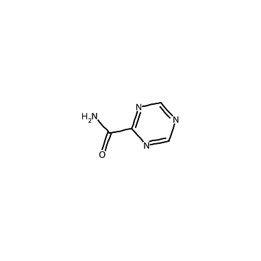 NC(=O)c1ncncn1